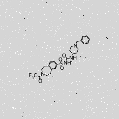 O=C(NC1CCN(Cc2ccccc2)CC1)NS(=O)(=O)c1ccc2c(c1)CCN(C(=O)C(F)(F)F)CC2